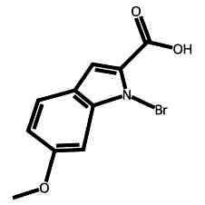 COc1ccc2cc(C(=O)O)n(Br)c2c1